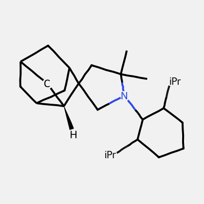 CC(C)C1CCCC(C(C)C)C1N1CC2(CC1(C)C)C1CC3CC(C1)[C@@H]2C3